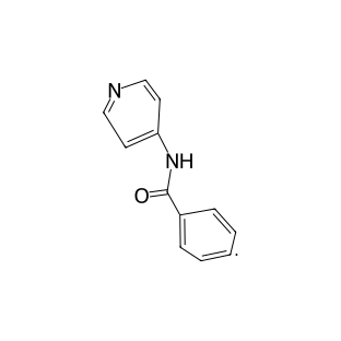 O=C(Nc1ccncc1)c1cc[c]cc1